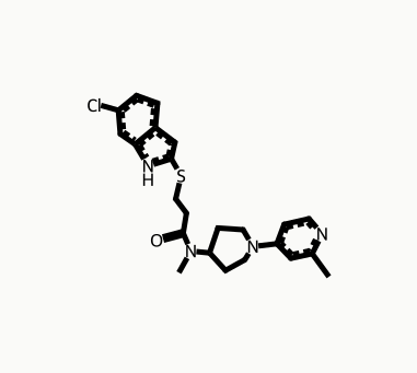 Cc1cc(N2CCC(N(C)C(=O)CCSc3cc4ccc(Cl)cc4[nH]3)CC2)ccn1